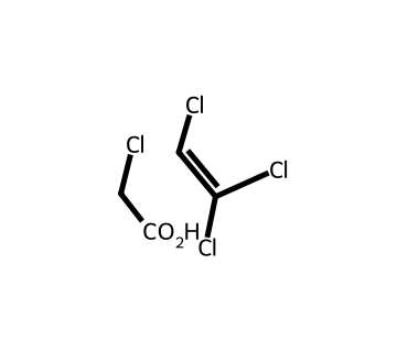 ClC=C(Cl)Cl.O=C(O)CCl